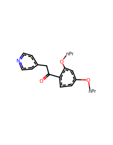 CCCOc1ccc(C(=O)Cc2ccncc2)c(OCCC)c1